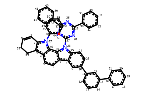 C1=Cc2c(c3ccc4c5cc(-c6cccc(-c7ccccc7)c6)ccc5n(-c5nc(-c6ccccc6)nc(-c6ccccc6)n5)c4c3n2-c2ccccc2)CC1